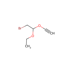 C#COC(CBr)OCC